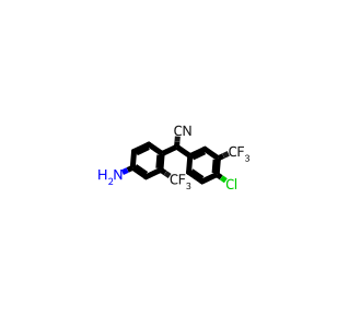 N#CC(c1ccc(Cl)c(C(F)(F)F)c1)c1ccc(N)cc1C(F)(F)F